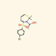 CC1(C)SC=CC=C(S(=O)(=O)c2ccc(Br)cc2)N1C(=O)O